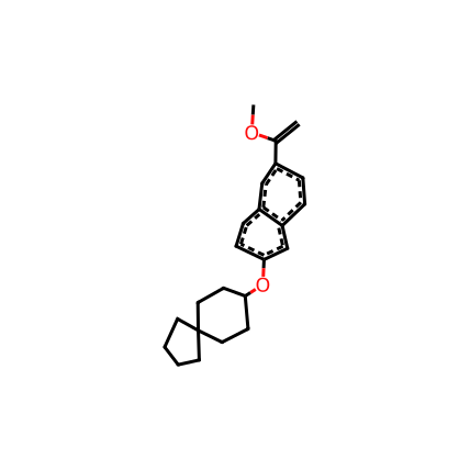 C=C(OC)c1ccc2cc(OC3CCC4(CCCC4)CC3)ccc2c1